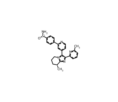 Cc1cccc(-c2nc3n(c2-c2ccnc(-c4ccc([S+](N)[O-])cc4)c2)CCC[C@@H]3C)n1